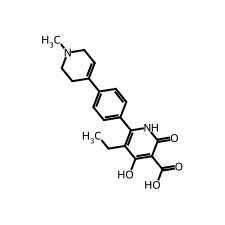 CCc1c(-c2ccc(C3=CCN(C)CC3)cc2)[nH]c(=O)c(C(=O)O)c1O